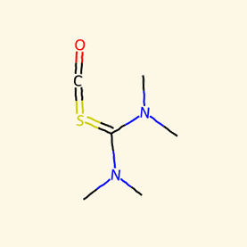 CN(C)C(=S=C=O)N(C)C